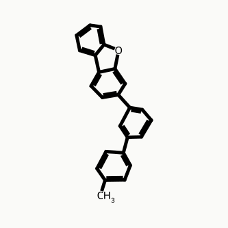 Cc1ccc(-c2cccc(-c3ccc4c(c3)oc3ccccc34)c2)cc1